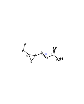 CCC1CC1/C=C/C(=O)O